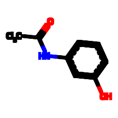 O=C(Nc1cccc(O)c1)C(Cl)(Cl)Cl